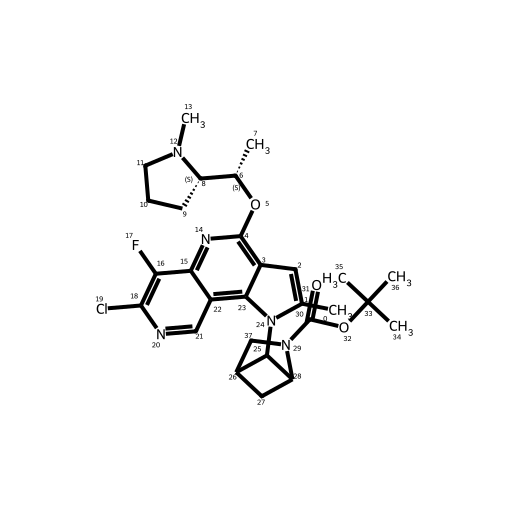 Cc1cc2c(O[C@@H](C)[C@@H]3CCCN3C)nc3c(F)c(Cl)ncc3c2n1C1C2CC1N(C(=O)OC(C)(C)C)C2